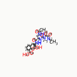 CCN1CCN(C(=O)NC(CNC(C)=O)C(=O)N[C@H]2Cc3cccc(C(=O)O)c3OB2O)C(=O)C1=O